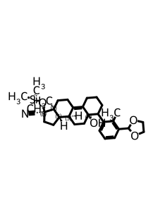 Cc1c(C2OCCO2)cccc1C1CCCC2=C3CC[C@@]4(C)[C@@H](CC[C@@]4(C#N)O[Si](C)(C)C)[C@@H]3CC[C@]21O